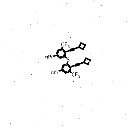 CCCc1cc(Sc2cc(CCC)cc(C(F)(F)F)c2C#CC2CCC2)c(C#CC2CCC2)c(C(F)(F)F)c1